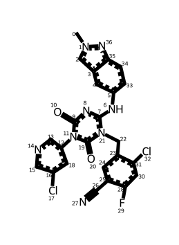 Cn1cc2cc(Nc3nc(=O)n(-c4cncc(Cl)c4)c(=O)n3Cc3cc(C#N)c(F)cc3Cl)ccc2n1